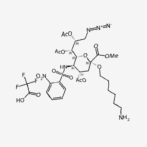 COC(=O)[C@@]1(OCCCCCCN)C[C@H](OC(C)=O)[C@@H](NS(=O)(=O)c2ccccc2[N+](=O)[O-])[C@H]([C@H](OC(C)=O)[C@@H](CN=[N+]=[N-])OC(C)=O)O1.O=C(O)C(F)(F)F